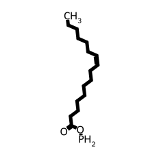 CCCCCC/C=C\CCCCCCCC(=O)OP